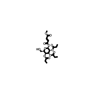 CCC(=O)O[C@H]1[C@@H](OC(=O)CC)[C@@H](CO)O[C@@H](OC(=O)/C=C/C(=O)OC)[C@@H]1OC(=O)CC